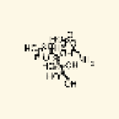 NCCOP(=O)(O)O.O=C(OP(=O)(O)O)[C@H](O)[C@@H](O)[C@H](O)[C@H](O)CO